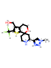 Cn1cc([C@@H]2CC3(CCN2)OCCc2c3sc(C(F)(F)F)c2CO)nn1